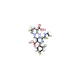 COC(=O)C1=C(CN2CC(C(=O)O)CC(F)(F)C2)NC(c2nccs2)=NC1c1ccc(F)cc1Cl